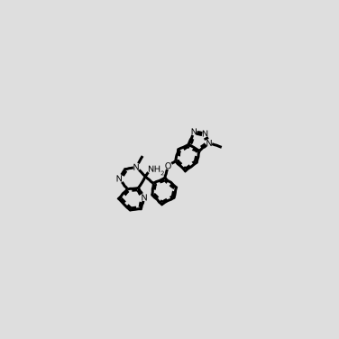 CN1C=Nc2cccnc2C1(N)c1ccccc1Oc1ccc2c(c1)nnn2C